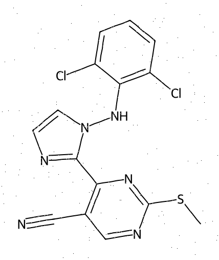 CSc1ncc(C#N)c(-c2nccn2Nc2c(Cl)cccc2Cl)n1